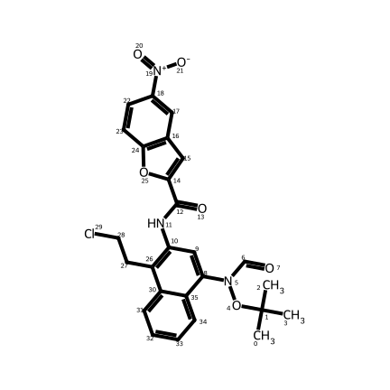 CC(C)(C)ON(C=O)c1cc(NC(=O)c2cc3cc([N+](=O)[O-])ccc3o2)c(CCCl)c2ccccc12